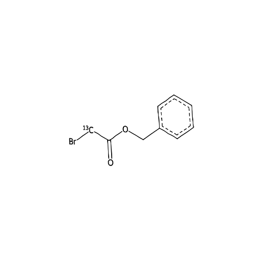 O=C([13CH2]Br)OCc1ccccc1